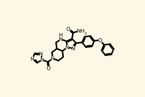 NC(=O)c1c(-c2ccc(Oc3ccccc3)cc2)nn2c1NCC1CN(C(=O)n3cncn3)CCC12